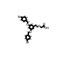 O=C(O)CON=Cc1cc(OCc2ccc(Br)cc2)cc(OCc2ccc(Br)cc2)c1